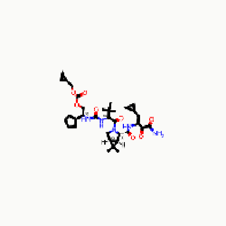 CC(C)(C)[C@H](NC(=O)N[C@H](COC(=O)OCC1CC1)C1CCCC1)C(=O)N1C[C@H]2[C@@H]([C@H]1C(=O)NC(CC1CC1)C(=O)C(N)=O)C2(C)C